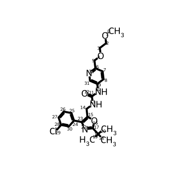 COCCOCc1ccc(NC(=O)NCc2oc(C(C)(C)C)nc2-c2cccc(Cl)c2)cn1